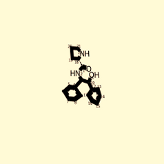 O=C(NC(c1ccccc1)C(O)c1ccccc1)[C@@H]1CCCN1